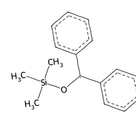 C[Si](C)(C)O[C](c1ccccc1)c1ccccc1